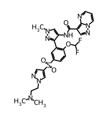 CN(C)CCn1cc(S(=O)(=O)c2ccc(OC(F)F)c(-c3nn(C)cc3NC(=O)c3cnn4cccnc34)c2)cn1